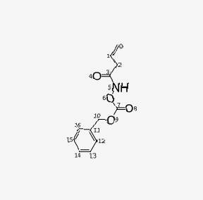 C=CCC(=O)NOC(=O)OCc1ccccc1